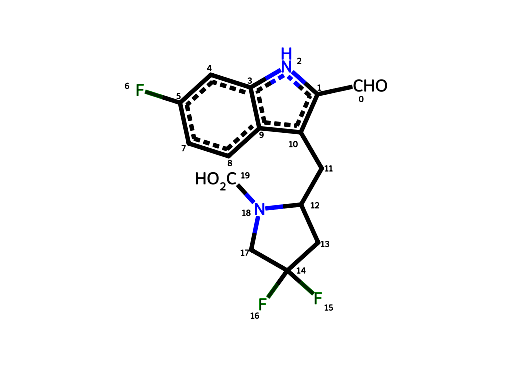 O=Cc1[nH]c2cc(F)ccc2c1CC1CC(F)(F)CN1C(=O)O